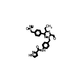 CCC1SC(C=O)N(Cc2ccc(NC(=O)c3cc[nH]n3)cc2)N=C1c1ccc(C[SH](=O)=O)cc1